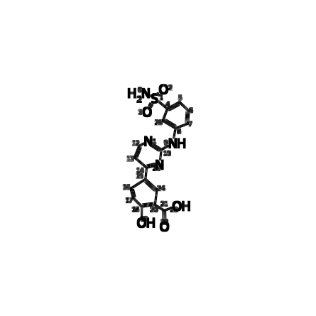 NS(=O)(=O)c1cccc(Nc2nccc(-c3ccc(O)c(C(=O)O)c3)n2)c1